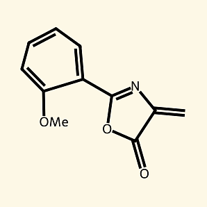 C=C1N=C(c2ccccc2OC)OC1=O